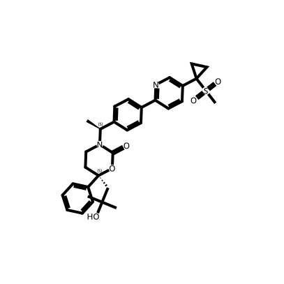 C[C@@H](c1ccc(-c2ccc(C3(S(C)(=O)=O)CC3)cn2)cc1)N1CC[C@](CC(C)(C)O)(c2ccccc2)OC1=O